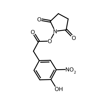 O=C(Cc1ccc(O)c([N+](=O)[O-])c1)ON1C(=O)CCC1=O